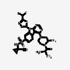 CC(C)C(=O)N1CCN(c2ncnc3c2c2ccc(S(=O)(=O)NC4(C#N)CC4)cc2n3-c2nnc(C(F)F)s2)CC1C